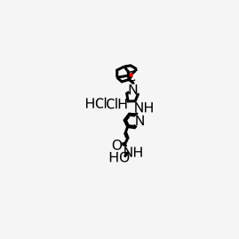 Cl.Cl.O=C(/C=C/c1ccc(NC2CCN(CC34CC5CC(CC(C5)C3)C4)C2)nc1)NO